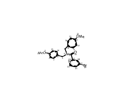 COc1ccc(CN(Cc2ccc(OC)cc2)C(=O)c2cc(Br)ccn2)cc1